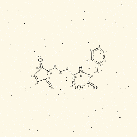 NC(=O)[C@@H](Cc1ccccc1)NC(=O)CCCN1C(=O)C=CC1=O